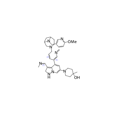 C=N/C=C(\C=C/CN1CCC2CC(C1)N2Cc1ccc(OC)nc1)C1=CC(N2CCC(C)(O)CC2)=CN2NCC(/C=N\C)=C12